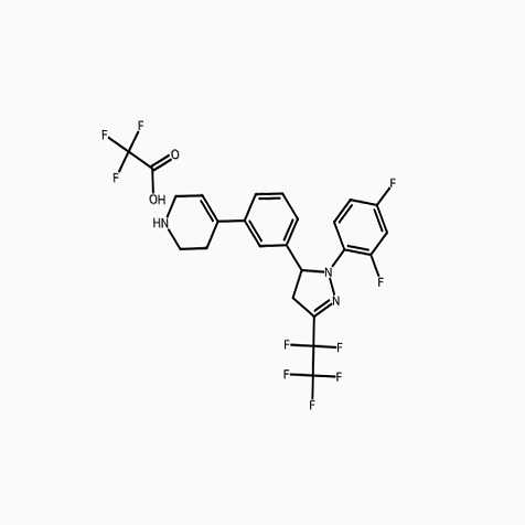 Fc1ccc(N2N=C(C(F)(F)C(F)(F)F)CC2c2cccc(C3=CCNCC3)c2)c(F)c1.O=C(O)C(F)(F)F